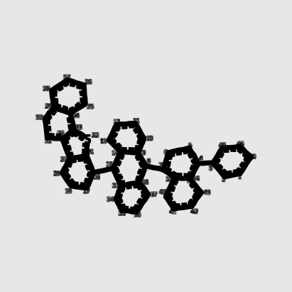 c1ccc(-c2ccc(-c3c4ccccc4c(-c4cccc5c4sc4c6ccccc6ccc54)c4ccccc34)c3ccccc23)cc1